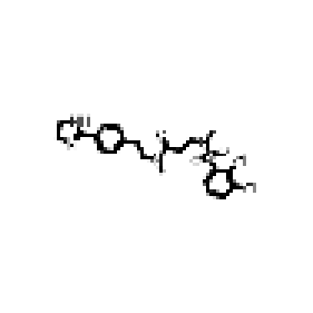 CN(CCc1ccc(C2=NCCN2)cc1)C(=O)CCN(C)S(=O)(=O)c1cccc(Cl)c1Cl